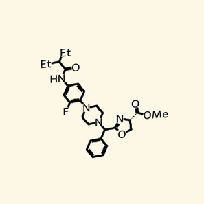 CCC(CC)C(=O)Nc1ccc(N2CCN(C(C3=N[C@H](C(=O)OC)CO3)c3ccccc3)CC2)c(F)c1